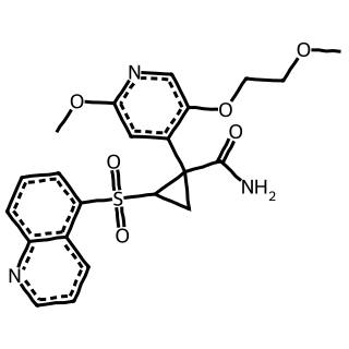 COCCOc1cnc(OC)cc1C1(C(N)=O)CC1S(=O)(=O)c1cccc2ncccc12